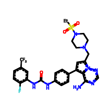 CCS(=O)(=O)N1CCN(Cc2cc(-c3ccc(NC(=O)Nc4cc(C(F)(F)F)ccc4F)cc3)c3c(N)ncnn23)CC1